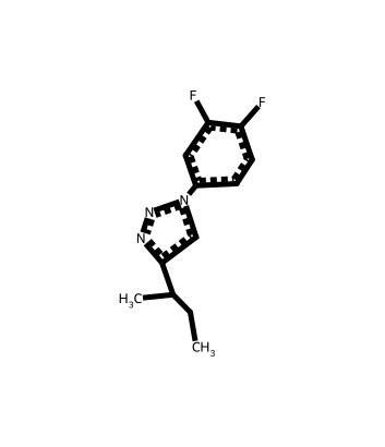 CCC(C)c1cn(-c2ccc(F)c(F)c2)nn1